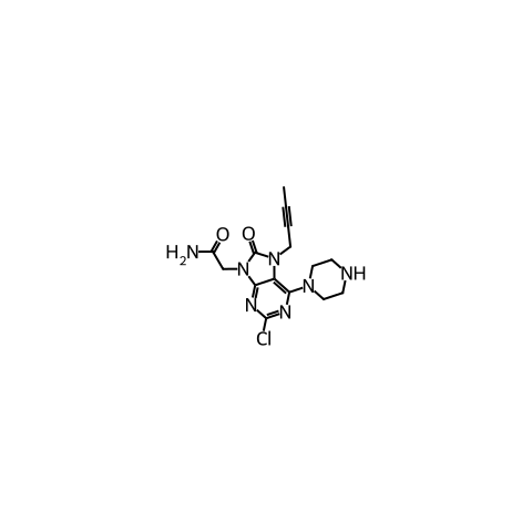 CC#CCn1c(=O)n(CC(N)=O)c2nc(Cl)nc(N3CCNCC3)c21